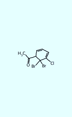 CC(=O)C1C=CC=C(Cl)C1(Br)Br